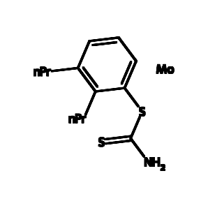 CCCc1cccc(SC(N)=S)c1CCC.[Mo]